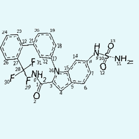 NC(=O)c1cc2ccc(NS(N)(=O)=O)cc2n1-c1cccc(-c2ccccc2C(F)(F)F)c1